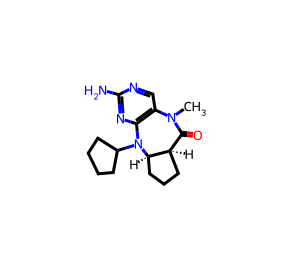 CN1C(=O)[C@H]2CCC[C@H]2N(C2CCCC2)c2nc(N)ncc21